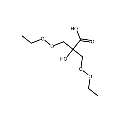 CCOOCC(O)(COOCC)C(=O)O